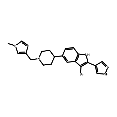 CC(C)c1c(-c2cn[nH]c2)[nH]c2ccc(C3CCN(Cc4cn(C)cn4)CC3)cc12